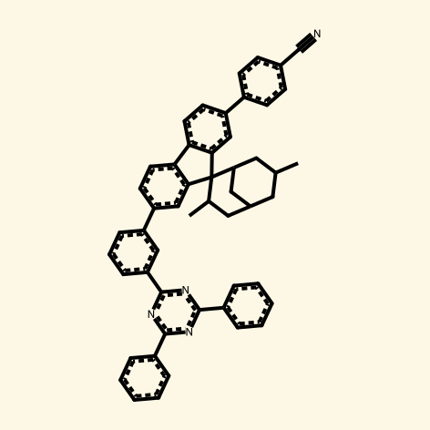 CC1CC2CC(C)C3(c4cc(-c5ccc(C#N)cc5)ccc4-c4ccc(-c5cccc(-c6nc(-c7ccccc7)nc(-c7ccccc7)n6)c5)cc43)C(C1)C2